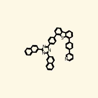 c1cncc(-c2ccc(-c3cccc4c3sc3c(-c5ccc(-c6nc(-c7ccc8ccccc8c7)nc(-c7ccc8ccccc8c7)n6)cc5)cccc34)cc2)c1